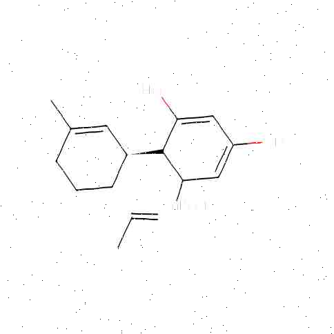 C=C(C)[C@@H]1CCC(C)=C[C@H]1C1C(O)=CC(O)=CC1CCCCC